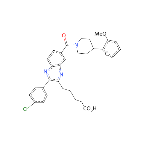 COc1ccccc1C1CCN(C(=O)c2ccc3nc(-c4ccc(Cl)cc4)c(CCCCC(=O)O)nc3c2)CC1